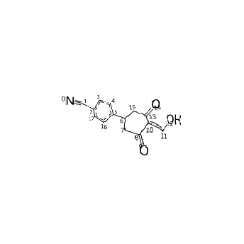 N#Cc1ccc(C2CC(=O)C(=CO)C(=O)C2)cc1